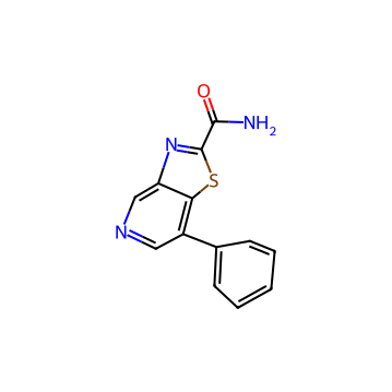 NC(=O)c1nc2cncc(-c3ccccc3)c2s1